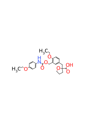 CCOc1ccc(NC(=O)OCc2cc(CC3(C(=O)O)CCCO3)ccc2OCC)cc1